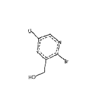 OCc1nc(Cl)cnc1Br